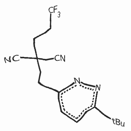 CC(C)(C)c1ccc(CC(C#N)(C#N)CCC(F)(F)F)nn1